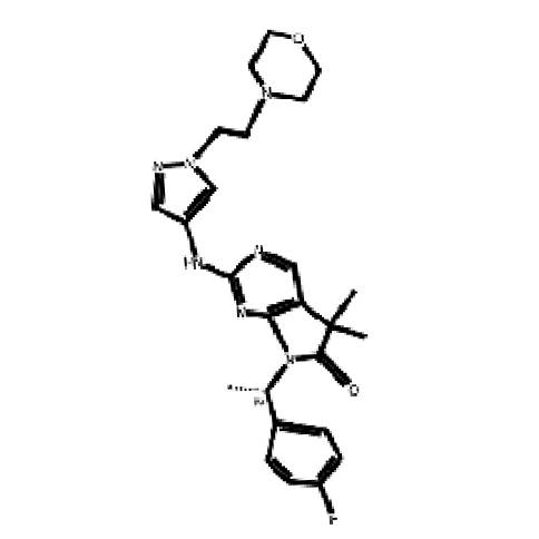 C[C@@H](c1ccc(F)cc1)N1C(=O)C(C)(C)c2cnc(Nc3cnn(CCN4CCOCC4)c3)nc21